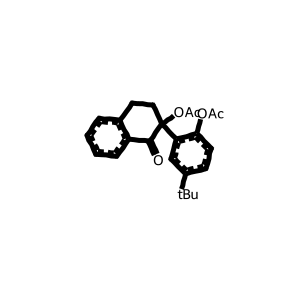 CC(=O)Oc1ccc(C(C)(C)C)cc1C1(OC(C)=O)CCc2ccccc2C1=O